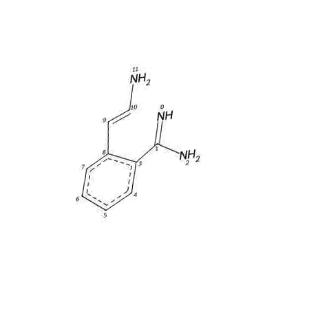 N=C(N)c1ccccc1C=CN